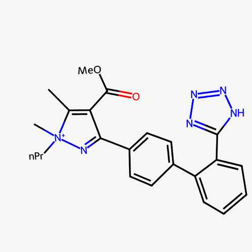 CCC[N+]1(C)N=C(c2ccc(-c3ccccc3-c3nnn[nH]3)cc2)C(C(=O)OC)=C1C